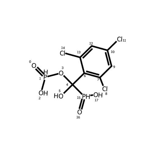 O=[PH](O)OC(O)(c1c(Cl)cc(Cl)cc1Cl)[PH](=O)O